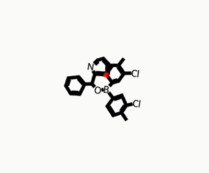 Cc1ccc(B(OC(c2ccccc2)c2ccccn2)c2ccc(C)c(Cl)c2)cc1Cl